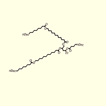 CCCCCCCCCCCCCCCCCC(=O)OCCCCCCCCCCCC(=O)OCC(CC(CC)OC(=O)CCCCCCCCCCCCC)OC(=O)CCCCCCCCCCCOC(=O)CCCCCCCCCCCCCCCCC